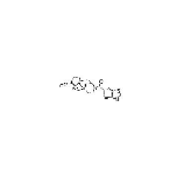 N#CC12CCN(C(=O)c3ccc4ncsc4c3)C(Cc3ccc(O)cc31)C2